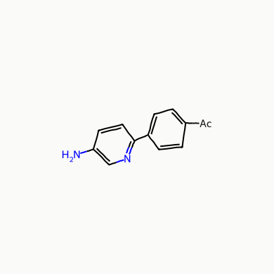 CC(=O)c1ccc(-c2ccc(N)cn2)cc1